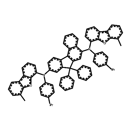 Cc1cccc2c1oc1c(N(c3ccc(C(C)C)cc3)c3ccc4c(c3)C(c3ccccc3)(c3ccccc3)c3cc(N(c5ccc(C(C)C)cc5)c5cccc6c5oc5c(C)cccc56)c5ccccc5c3-4)cccc12